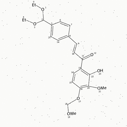 CCOC(OCC)c1ccc(/C=C/C(=O)c2ccc(OCOC)c(OC)c2O)cc1